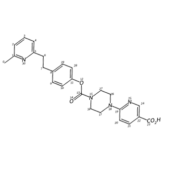 Cc1cccc(CCc2ccc(OC(=O)N3CCN(c4ccc(C(=O)O)cn4)CC3)cc2)n1